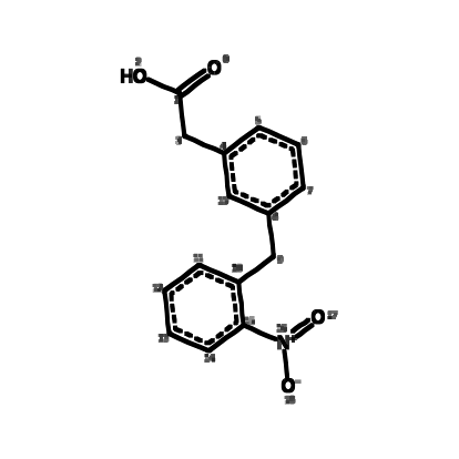 O=C(O)Cc1cccc(Cc2ccccc2[N+](=O)[O-])c1